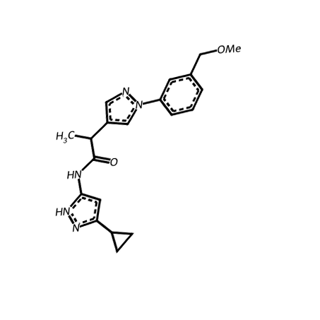 COCc1cccc(-n2cc(C(C)C(=O)Nc3cc(C4CC4)n[nH]3)cn2)c1